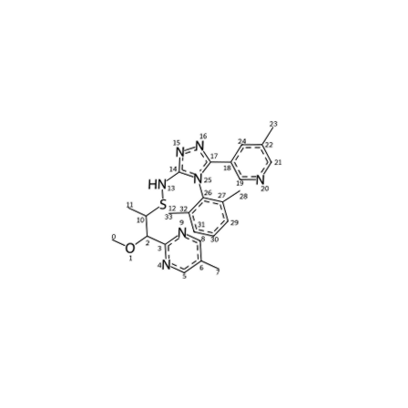 COC(c1ncc(C)cn1)C(C)SNc1nnc(-c2cncc(C)c2)n1-c1c(C)cccc1C